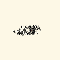 CO[C@]1(C)C[C@@H](C)CN(C)C(C2CCN(C(=O)CN(C)C)CC2)[C@H](C)OC(=O)C(C)(C)C(=O)[C@H](C)[C@H]1O[C@@H]1O[C@H](C)C[C@H](N(C)C)[C@H]1O